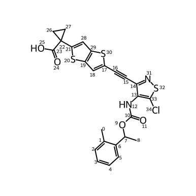 Cc1ccccc1C(C)OC(=O)Nc1c(C#Cc2cc3sc(C4(C(=O)O)CC4)cc3s2)nsc1Cl